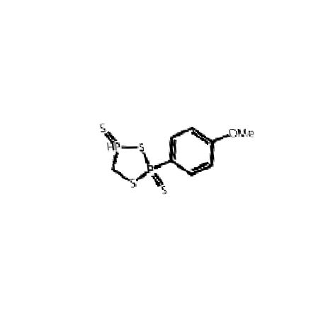 COc1ccc(P2(=S)SC[PH](=S)S2)cc1